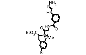 CCOC(=O)C(Cc1cc(Br)ccc1OC)NC(=O)CNC(=O)c1cccc(NC=NN)c1